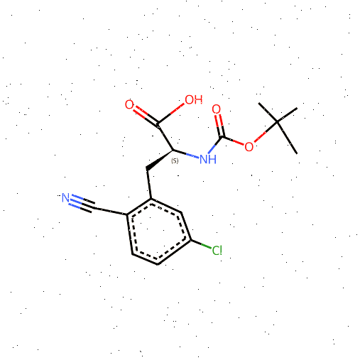 CC(C)(C)OC(=O)N[C@@H](Cc1cc(Cl)ccc1C#N)C(=O)O